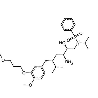 COCCCOc1cc(C[C@@H](C[C@H](N)[C@@H](O)CN(C(C)C)S(=O)(=O)c2ccccc2)C(C)C)ccc1OC